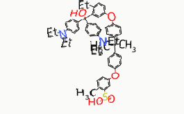 CCc1ccc(Oc2ccc(C(C)(C)c3ccc(Oc4ccc(C)c(S(=O)O)c4)cc3)cc2)cc1C(O)(c1ccc(N(CC)CC)cc1)c1ccc(N(CC)CC)cc1